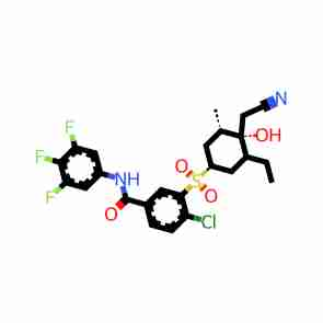 CCC1C[C@@H](S(=O)(=O)c2cc(C(=O)Nc3cc(F)c(F)c(F)c3)ccc2Cl)C[C@H](C)[C@@]1(O)CC#N